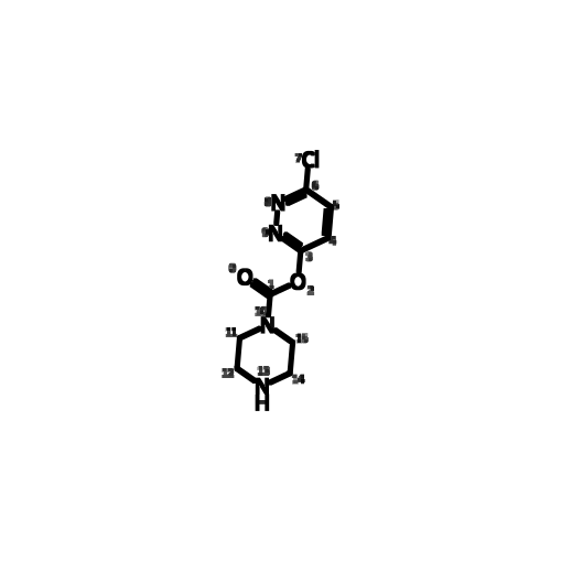 O=C(Oc1ccc(Cl)nn1)N1CCNCC1